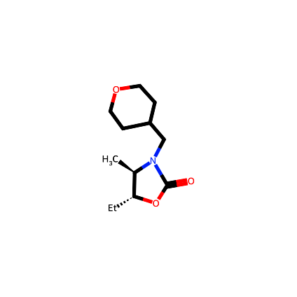 CC[C@H]1OC(=O)N(CC2CCOCC2)[C@@H]1C